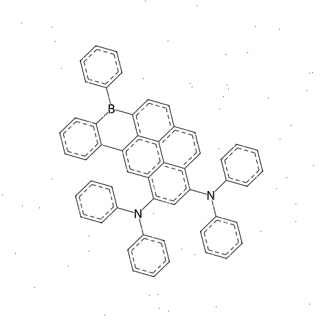 c1ccc(B2c3ccccc3-c3cc4c(N(c5ccccc5)c5ccccc5)cc(N(c5ccccc5)c5ccccc5)c5ccc6ccc2c3c6c54)cc1